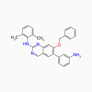 Cc1cccc(C)c1Nc1ncc2cc(-c3cccc(N)c3)c(OCc3ccccc3)cc2n1